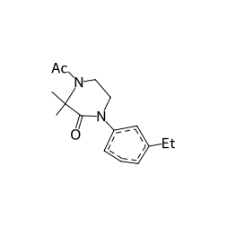 CCc1cccc(N2CCN(C(C)=O)C(C)(C)C2=O)c1